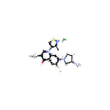 Cc1nscc1-n1cc(C(=O)O)c(=O)c2cc(F)c(N3CCC(N)C3)cc21.Cl